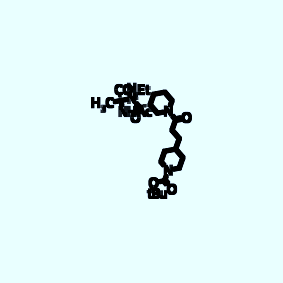 CCOC(=O)[C@@](C)(NC(C)=O)NC(=O)[C@@H]1CCCN(C(=O)CCC2CCN(C(=O)OC(C)(C)C)CC2)C1